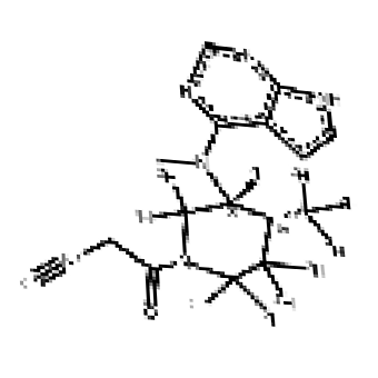 [2H]C([2H])([2H])[C@@H]1C([2H])([2H])C([2H])([2H])N(C(=O)C[N+]#[C-])C([2H])([2H])[C@]1([2H])N(C)c1ncnc2[nH]ccc12